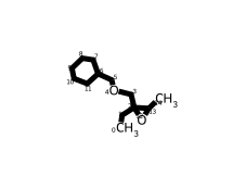 CCC1(COCC2CCCCC2)OC1C